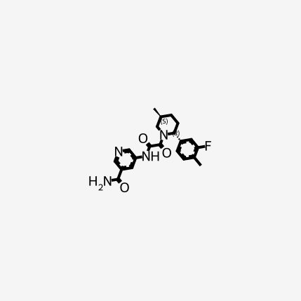 Cc1ccc([C@H]2CC[C@H](C)CN2C(=O)C(=O)Nc2cncc(C(N)=O)c2)cc1F